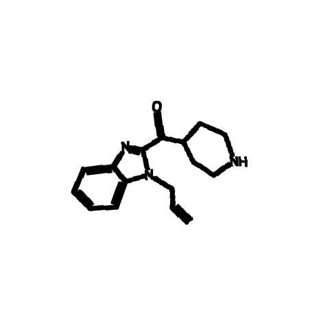 C=CCn1c(C(=O)C2CCNCC2)nc2ccccc21